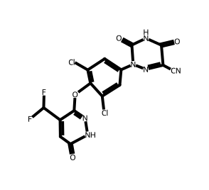 N#Cc1nn(-c2cc(Cl)c(Oc3n[nH]c(=O)cc3C(F)F)c(Cl)c2)c(=O)[nH]c1=O